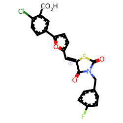 O=C(O)c1cc(-c2ccc(/C=C3\SC(=O)N(Cc4ccc(F)cc4)C3=O)o2)ccc1Cl